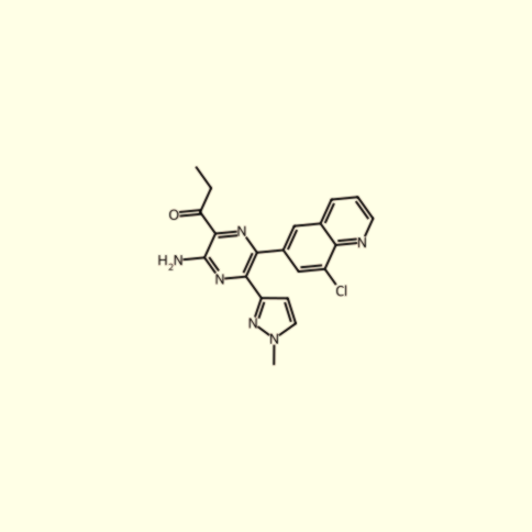 CCC(=O)c1nc(-c2cc(Cl)c3ncccc3c2)c(-c2ccn(C)n2)nc1N